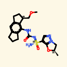 COC[C@@H]1CCc2cc3c(c(NC(=O)N=[S@](N)(=O)c4cnn5c4O[C@@H](C)C5)c21)CCC3